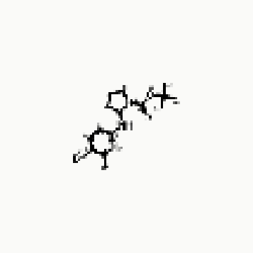 Cc1nc(NC2CCCN2C(=O)OC(C)(C)C)ccc1Br